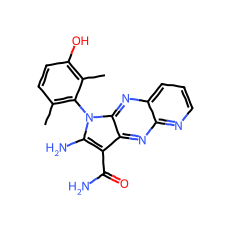 Cc1ccc(O)c(C)c1-n1c(N)c(C(N)=O)c2nc3ncccc3nc21